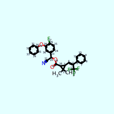 CC1(C)C(C=C(c2ccccc2)C(F)(F)F)C1C(=O)OC(C#N)c1ccc(F)c(Oc2ccccc2)c1